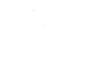 CC(c1ccc(Cl)c([N+](=O)[O-])c1)N1C(=O)c2cc(I)ccc2N(CCCCC(=O)O)C(=O)C1c1ccc(Cl)cc1